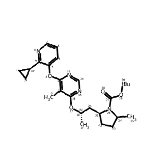 Cc1c(Oc2cccnc2C2CC2)ncnc1O[C@@H](C)CC1CCC(C)N1C(=O)OC(C)(C)C